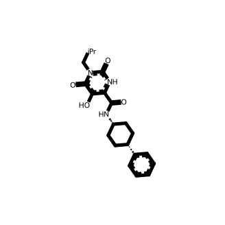 CC(C)Cn1c(=O)[nH]c(C(=O)N[C@H]2CC[C@@H](c3ccccc3)CC2)c(O)c1=O